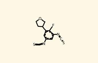 Fc1c(N=C=S)cc(N=C=S)cc1C1CCOC1